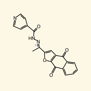 C/C(=N\NC(=O)c1ccncc1)c1cc2c(o1)C(=O)c1ccccc1C2=O